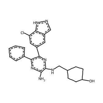 Nc1nc(-c2ccccc2)c(-c2cc(Cl)c3[nH]ncc3c2)nc1NCC1CCC(O)CC1